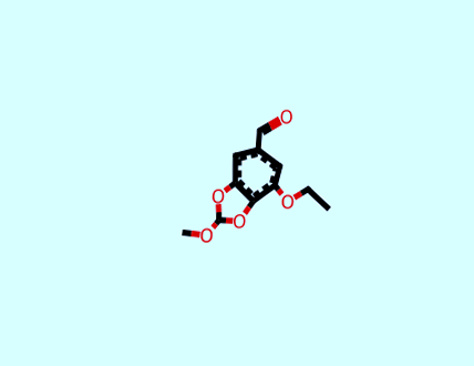 CCOc1cc(C=O)cc2c1OC(OC)O2